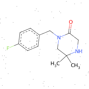 CC1(C)CN(Cc2ccc(F)cc2)C(=O)CN1